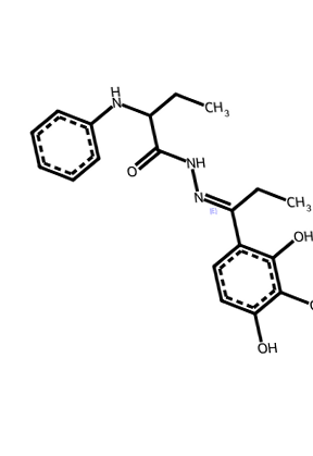 CC/C(=N\NC(=O)C(CC)Nc1ccccc1)c1ccc(O)c(C)c1O